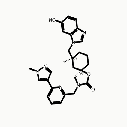 Cn1cc(-c2cccc(CN3C[C@]4(CCC[C@](C)(Cn5cnc6ccc(C#N)cc65)C4)OC3=O)n2)cn1